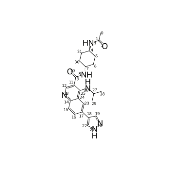 CC(=O)N[C@H]1CC[C@H](NC(=O)c2cnc3ccc(-c4cn[nH]c4)cc3c2NC(C)C)CC1